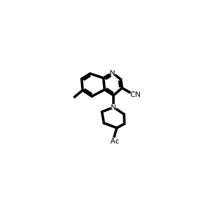 CC(=O)C1CCN(c2c(C#N)cnc3ccc(C)cc23)CC1